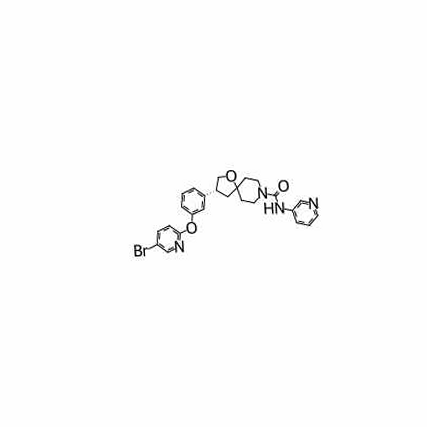 O=C(Nc1cccnc1)N1CCC2(CC1)C[C@H](c1cccc(Oc3ccc(Br)cn3)c1)CO2